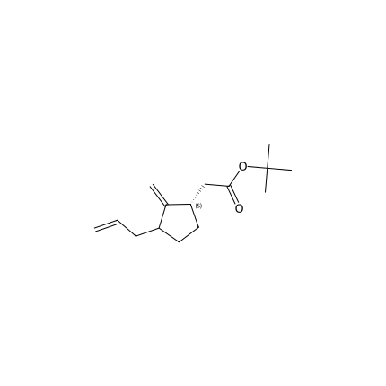 C=CCC1CC[C@@H](CC(=O)OC(C)(C)C)C1=C